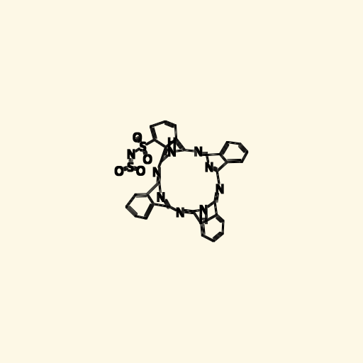 O=S(=O)=NS(=O)(=O)c1cccc2c3nc4nc(nc5[nH]c(nc6nc(nc([nH]3)c12)-c1ccccc1-6)c1ccccc51)-c1ccccc1-4